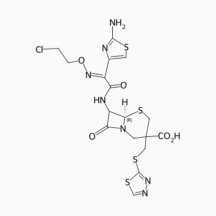 Nc1nc(C(=NOCCCl)C(=O)NC2C(=O)N3CC(CSc4nncs4)(C(=O)O)CS[C@H]23)cs1